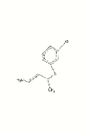 [CH2]C=CC(C)Oc1cccc(Cl)c1